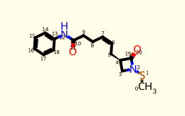 CSN1C[C@@H](C/C=C\CCC(=O)Nc2ccccc2)C1=O